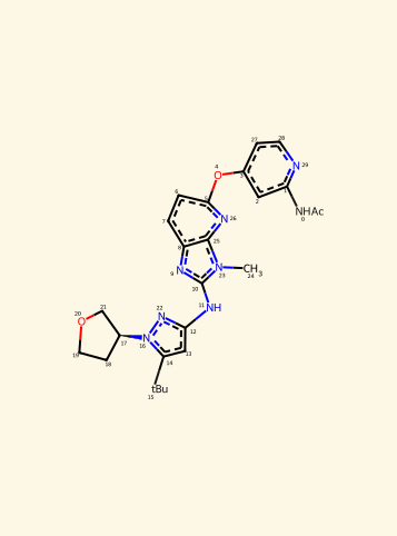 CC(=O)Nc1cc(Oc2ccc3nc(Nc4cc(C(C)(C)C)n([C@H]5CCOC5)n4)n(C)c3n2)ccn1